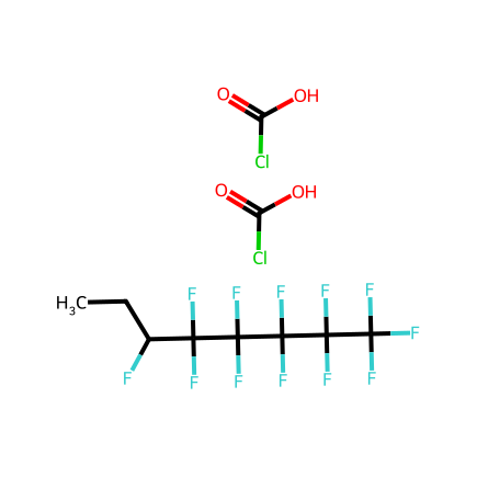 CCC(F)C(F)(F)C(F)(F)C(F)(F)C(F)(F)C(F)(F)F.O=C(O)Cl.O=C(O)Cl